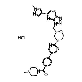 CN1CCN(C(=O)c2ccc(-c3cnc(N4CCOC(Cn5nnc6ncc(-c7cnn(C)c7)nc65)C4)nc3)cc2)CC1.Cl